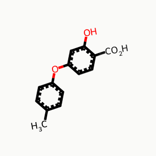 Cc1ccc(Oc2ccc(C(=O)O)c(O)c2)cc1